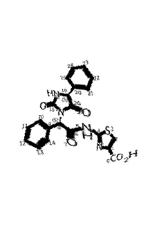 O=C(O)c1csc(NC(=O)[C@H](c2ccccc2)N2C(=O)N[C@@H](c3ccccc3)C2=O)n1